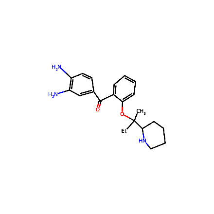 CCC(C)(Oc1ccccc1C(=O)c1ccc(N)c(N)c1)C1CCCCN1